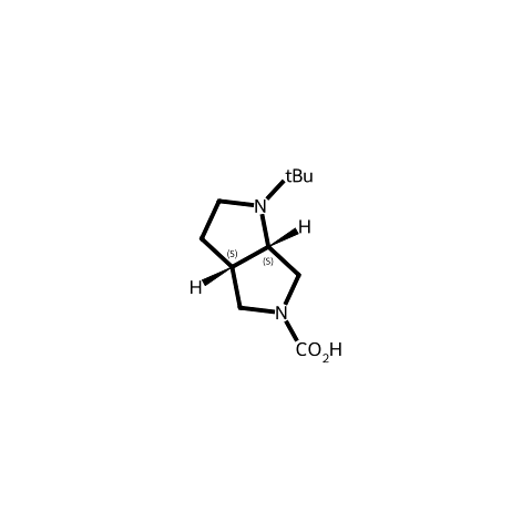 CC(C)(C)N1CC[C@H]2CN(C(=O)O)C[C@H]21